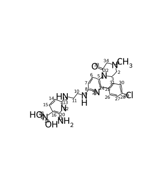 CN1CCN(c2ccc(NCCNc3ccc(N(O)O)c(N)n3)nc2-c2ccc(Cl)cc2)C(=O)C1